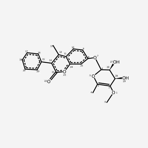 COC1=C(C)OC(Oc2ccc3c(C)c(-c4ccccc4)c(=O)oc3c2)[C@@H](O)[C@H]1O